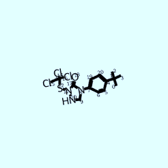 CC(C)(C)c1ccc(N2CNN(SC(Cl)(Cl)Cl)C2=O)cc1